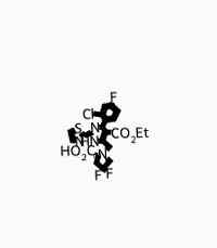 CCOC(=O)C1=C(CN2CC(F)(F)C[C@H]2C(=O)O)NC(c2nccs2)=NC1c1ccc(F)cc1Cl